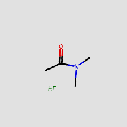 CC(=O)N(C)C.F